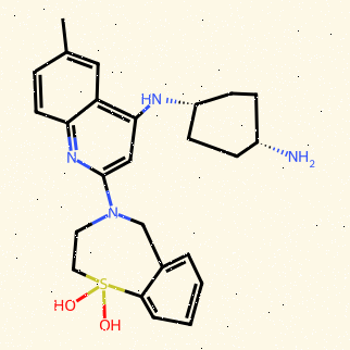 Cc1ccc2nc(N3CCS(O)(O)c4ccccc4C3)cc(N[C@H]3CC[C@@H](N)CC3)c2c1